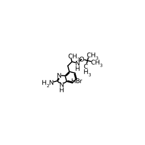 Br.CC(Cc1cccc2[nH]c(N)nc12)NOC(C)(C)C